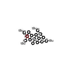 CC(C)(C)c1ccc(-c2ccc(-c3ccccc3-c3cc(-c4ccccc4-c4ccc(-c5ccc(C(C)(C)C)nc5)nc4)cc(-c4cccc(-c5cc(-c6ccccc6-c6ccc(-c7ccc(C(C)(C)C)nc7)nc6)cc(-c6ccccc6-c6ccc(-c7ccc(C(C)(C)C)nc7)nc6)c5)c4-c4cnc(-c5ccccc5)nc4)c3)cn2)cn1